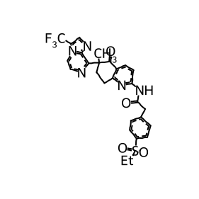 CCS(=O)(=O)c1ccc(CC(=O)Nc2ccc3c(n2)CCC(C)(c2nccn4c(C(F)(F)F)cnc24)C3=O)cc1